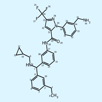 CCc1cccc(C(NCC2CC2)c2cccc(NC(=O)c3cc(C(F)(F)F)nn3-c3cccc(CN)c3)c2)c1